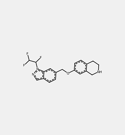 FC(F)C(F)n1ncc2ccc(COc3ccc4c(c3)CNCC4)cc21